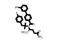 CC(C)c1cccc(-c2ccc(C(=O)N([C@@H](CCC(N)=O)C(=O)O)C(C)(C)Cc3ccc(F)cc3)cc2)c1